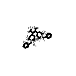 CC1(C)CC(/C(C(=O)O)=C(/C(=O)O)C2CC(C)(C)N(Cc3ccccc3)C(C)(C)C2)CC(C)(C)N1Cc1ccccc1